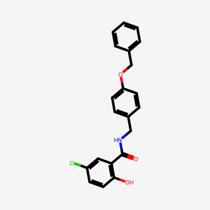 O=C(NCc1ccc(OCc2ccccc2)cc1)c1cc(Cl)ccc1O